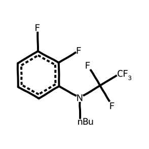 CCCCN(c1cccc(F)c1F)C(F)(F)C(F)(F)F